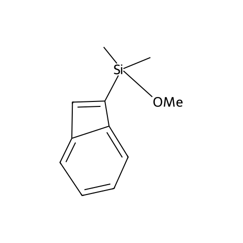 CO[Si](C)(C)C1=Cc2ccccc21